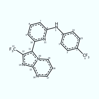 FC(F)(F)c1ccc(Nc2cccc(-c3c(C(F)(F)F)nc4ncccn34)n2)cc1